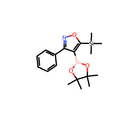 CC1(C)OB(c2c(-c3ccccc3)noc2[Si](C)(C)C)OC1(C)C